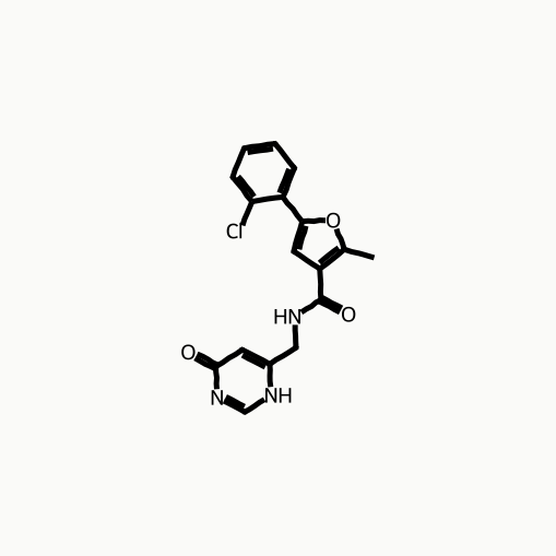 Cc1oc(-c2ccccc2Cl)cc1C(=O)NCc1cc(=O)nc[nH]1